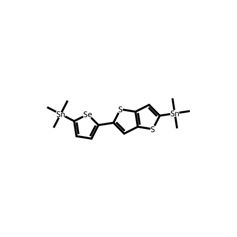 [CH3][Sn]([CH3])([CH3])[c]1cc2sc(-c3cc[c]([Sn]([CH3])([CH3])[CH3])[se]3)cc2s1